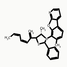 C=C(/C=C\C=C/C)C1SC(c2ccccc2)N(c2c(C)ccc3c2oc2ncccc23)[C@H]1C